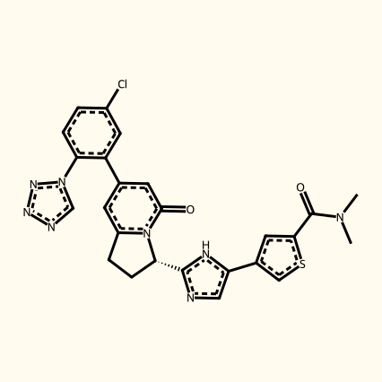 CN(C)C(=O)c1cc(-c2cnc([C@@H]3CCc4cc(-c5cc(Cl)ccc5-n5cnnn5)cc(=O)n43)[nH]2)cs1